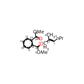 CCCC=C(C)C.COC(=O)c1ccccc1C(=O)OC